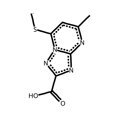 [CH2]Sc1cc(C)nc2nc(C(=O)O)nn12